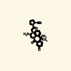 C[C@@H](CN1C(=O)c2cc(Cl)ccc2C(C)(C)c2ccccc21)NCC(=O)N1CCC[C@H]1C#N